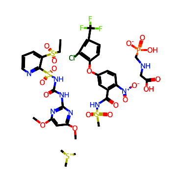 CCS(=O)(=O)c1cccnc1S(=O)(=O)NC(=O)Nc1nc(OC)cc(OC)n1.CS(=O)(=O)NC(=O)c1cc(Oc2ccc(C(F)(F)F)cc2Cl)ccc1[N+](=O)[O-].C[S+](C)C.O=C(O)CNCP(=O)([O-])O